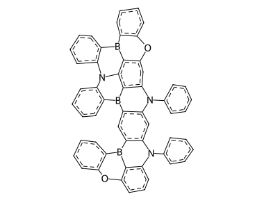 c1ccc(N2c3cc4c(cc3B3c5ccccc5Oc5cccc2c53)B2c3ccccc3N3c5ccccc5B5c6ccccc6Oc6cc(c2c3c65)N4c2ccccc2)cc1